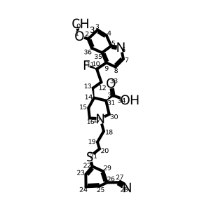 COc1ccc2nccc([C@H](F)CC[C@@H]3CCN(CCCSc4cccc(C#N)c4)C[C@@H]3C(=O)O)c2c1